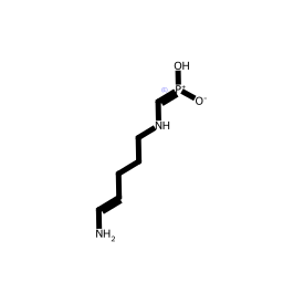 NC=CCCCN/C=[P+](\[O-])O